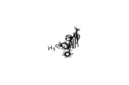 C[C@H]1CC[C@H](NC(=O)c2cc(C3CC3)on2)[C@H](Cc2ccccc2)C1